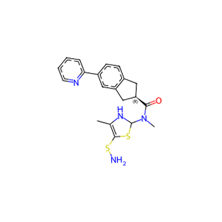 CC1=C(SN)SC(N(C)C(=O)[C@@H]2Cc3ccc(-c4ccccn4)cc3C2)N1